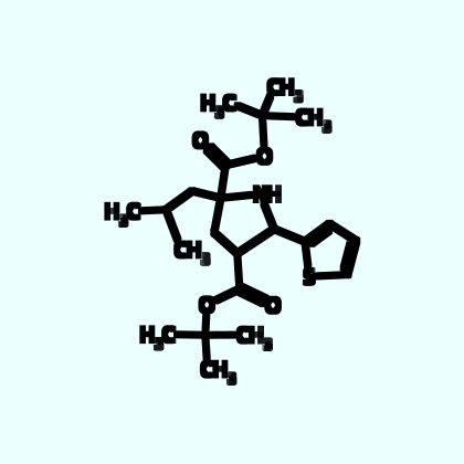 CC(C)CC1(C(=O)OC(C)(C)C)CC(C(=O)OC(C)(C)C)C(c2cccs2)N1